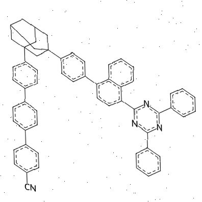 N#Cc1ccc(-c2ccc(-c3ccc(C45CC6CC(C4)CC(c4ccc(-c7ccc(-c8nc(-c9ccccc9)nc(-c9ccccc9)n8)c8ccccc78)cc4)(C6)C5)cc3)cc2)cc1